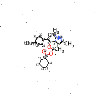 Cc1cc(/C(OC(C)OC(=O)C2CCCCC2)=C(\C#N)c2ccc(C(C)(C)C)cc2)n(C)n1